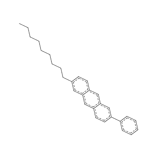 CCCCCCCCCc1ccc2cc3cc(-c4ccccc4)ccc3cc2c1